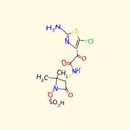 CC1(C)[C@H](NC(=O)C(=O)c2nc(N)sc2Cl)C(=O)N1OS(=O)(=O)O